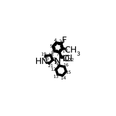 Cc1c(F)cccc1C(=O)N(C1CCCCC1)[C@H]1CCNC1.Cl